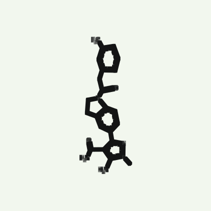 Cn1nc(-c2ccc3c(c2)CCN3C(=O)Cc2cccc(C(F)(F)F)c2)c(C(N)=O)c1N